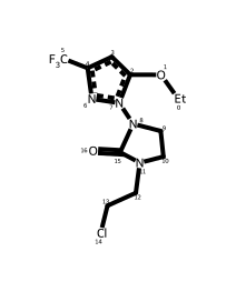 CCOc1cc(C(F)(F)F)nn1N1CCN(CCCl)C1=O